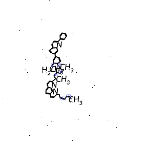 C=C(/N=C1/C=CC(c2ccc3ccc(-c4ccccc4)nc3c2)=C/C1=C/C)C(/C=C\C)=C/C(C)c1ccc2ccc3ccc(C/C=C\C=C/C)nc3c2n1